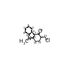 Cn1c2c(c3ccccc31)C(=O)C(CCl)CC2